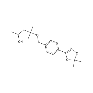 CC(O)CC(C)(C)OCc1ccc(C2=NOC(C)(C)O2)cc1